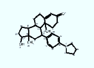 CC12CCC(=O)C=C1CCC1C2C(c2ccc(N3CCCC3)cc2)CC2(C)C(O)CCC12